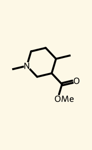 COC(=O)C1CN(C)CCC1C